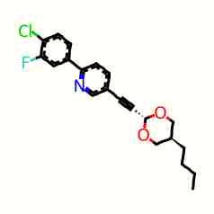 CCCC[C@H]1CO[C@H](C#Cc2ccc(-c3ccc(Cl)c(F)c3)nc2)OC1